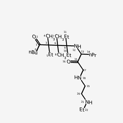 CCCCC(=O)C(C)(CC)C(C)(C)C(CC)(CC)NC(CCC)C(=O)CNCCNCC